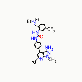 CCN(CC)Cc1ccc(C(F)(F)F)cc1NC(=O)Nc1ccc(-c2cc(C3CC3)nc3c2c(N)nn3C)cc1